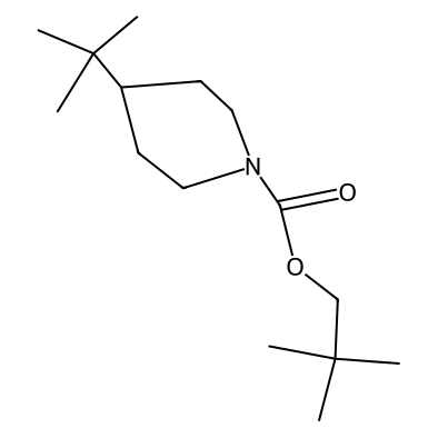 CC(C)(C)COC(=O)N1CCC(C(C)(C)C)CC1